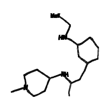 CSCNC1CCCC(CC(C)NC2CCN(C)CC2)C1